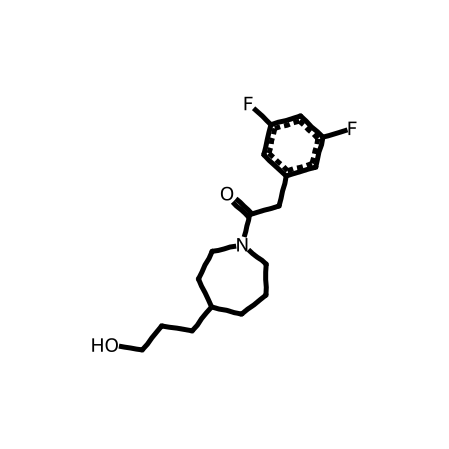 O=C(Cc1cc(F)cc(F)c1)N1CCCC(CCCO)CC1